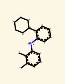 Cc1cccc(Nc2ccccc2C2CCCCC2)c1C